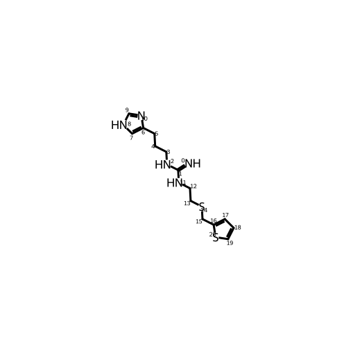 N=C(NCCCc1c[nH]cn1)NCCSCc1cccs1